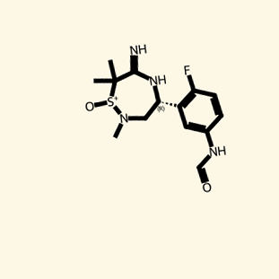 CN1C[C@@H](c2cc(NC=O)ccc2F)NC(=N)C(C)(C)[S+]1[O-]